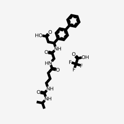 CC(C)NC(=O)NCCCC(=O)NCC(=O)NC(CC(=O)O)c1ccc(-c2ccccc2)cc1.O=C(O)C(F)(F)F